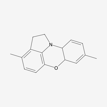 CC1=CC2Oc3ccc(C)c4c3N(CC4)C2C=C1